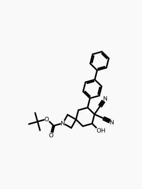 CC(C)(C)OC(=O)N1CC2(CC(O)C(C#N)(C#N)C(c3ccc(-c4ccccc4)cc3)C2)C1